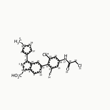 Cn1cc(-c2nn(C(=O)O)c3cnc(-c4c(F)cc(NC(=O)CCl)cc4Cl)cc23)cn1